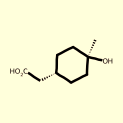 C[C@]1(O)CC[C@H](CC(=O)O)CC1